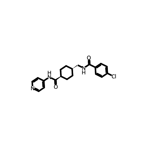 O=C(NC[C@H]1CC[C@H](C(=O)Nc2ccncc2)CC1)c1ccc(Cl)cc1